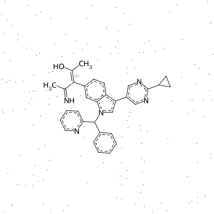 CC(=N)/C(=C(/C)O)c1ccc2c(-c3cnc(C4CC4)nc3)cn(C(c3ccccc3)c3ccccn3)c2c1